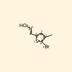 Cc1cc(C=NO)sc1Br